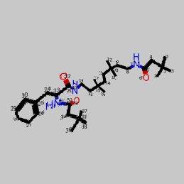 CC(C)(C)CC(=O)NCCC(C)(C)CCC(C)(C)CCNC(=O)C(Cc1ccccc1)NC(=O)CC(C)(C)C